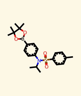 Cc1ccc(S(=O)(=O)N(c2ccc(B3OC(C)(C)C(C)(C)O3)cc2)C(C)C)cc1